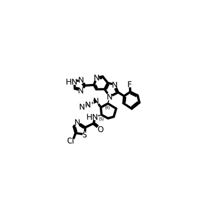 [N-]=[N+]=NC1[C@@H](NC(=O)c2ncc(Cl)s2)CCC[C@H]1n1c(-c2ccccc2F)nc2cnc(-c3nc[nH]n3)cc21